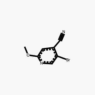 COc1cc(C#N)c(Br)cn1